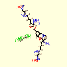 CN(Cc1cccc(COC(=O)C(C)(N)CCCCNCC=NO)c1)C(=O)C(C)(N)CCCCNCC=NO.Cl.Cl.Cl.Cl